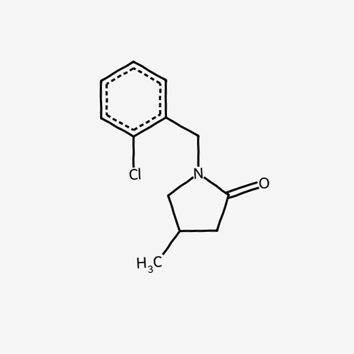 CC1CC(=O)N(Cc2ccccc2Cl)C1